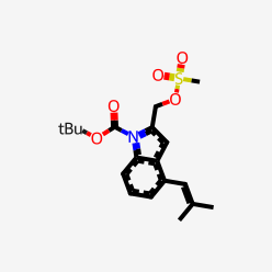 CC(C)=Cc1cccc2c1cc(COS(C)(=O)=O)n2C(=O)OC(C)(C)C